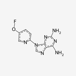 Nc1nc(N)c2ncn(-c3ccc(OF)cn3)c2n1